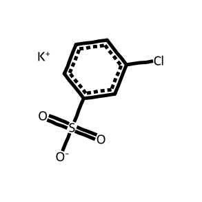 O=S(=O)([O-])c1cccc(Cl)c1.[K+]